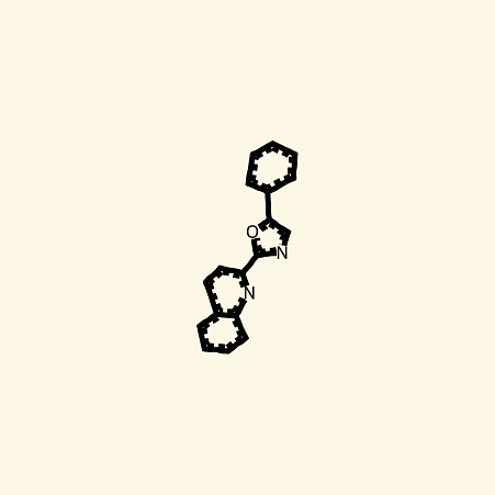 c1ccc(-c2cnc(-c3ccc4ccccc4n3)o2)cc1